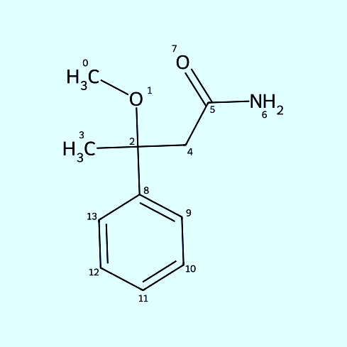 COC(C)(CC(N)=O)c1ccccc1